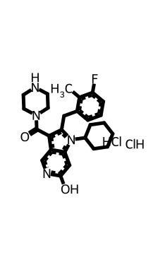 Cc1c(F)cccc1Cc1c(C(=O)N2CCNCC2)c2cnc(O)cc2n1C1CCCCC1.Cl.Cl